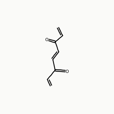 C=CC(=O)C=CC(=O)C=C